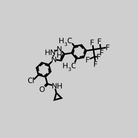 Cc1cc(C(F)(C(F)(F)F)C(F)(F)F)cc(C)c1C1=CN(c2ccc(Cl)c(C(=O)NC3CC3)c2)NN1